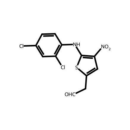 O=CCc1cc([N+](=O)[O-])c(Nc2ccc(Cl)cc2Cl)s1